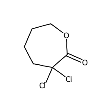 O=C1OCCCCC1(Cl)Cl